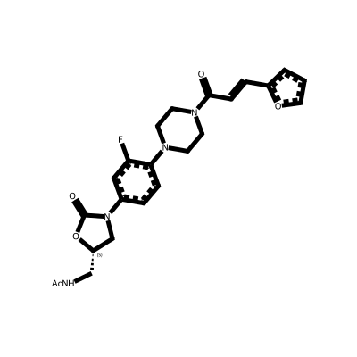 CC(=O)NC[C@H]1CN(c2ccc(N3CCN(C(=O)C=Cc4ccco4)CC3)c(F)c2)C(=O)O1